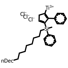 CCCCCCCCCCCCCCCCCC[Si](C)(C1=CC[C]([Ti+3])=C1c1ccccc1)c1ccccc1.[Cl-].[Cl-].[Cl-]